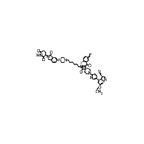 CCOc1cc(-c2ccc(N3CCC(NC(=O)c4cc(F)ccc4F)(C(=O)NCCCCCCN4CCN(c5ccc6c(c5)C(=O)N(C5CCC(=O)NC5=O)C6)CC4)CC3)nc2)c2c(C#N)cnn2c1